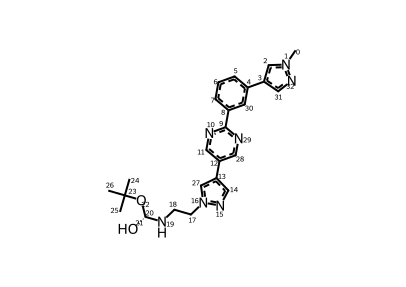 Cn1cc(-c2cccc(-c3ncc(-c4cnn(CCN[C@H](O)OC(C)(C)C)c4)cn3)c2)cn1